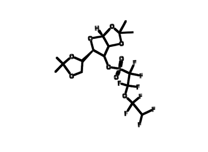 CC1(C)OCC([C@H]2O[C@@H]3OC(C)(C)OC3C2OS(=O)(=O)C(F)(F)C(F)(F)OC(F)(F)C(F)F)O1